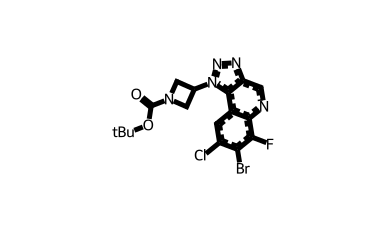 CC(C)(C)OC(=O)N1CC(n2nnc3cnc4c(F)c(Br)c(Cl)cc4c32)C1